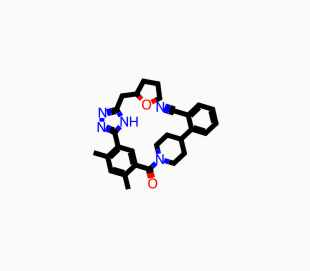 Cc1cc(C)c(-c2nnc(CC3CCCO3)[nH]2)cc1C(=O)N1CCC(c2ccccc2C#N)CC1